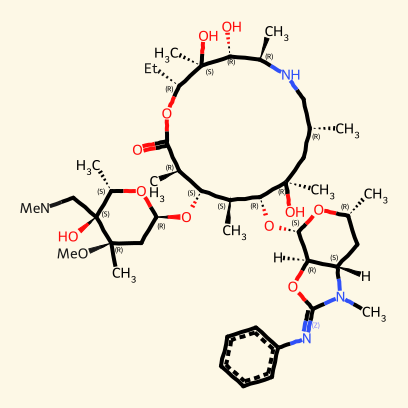 CC[C@H]1OC(=O)[C@H](C)[C@@H](O[C@H]2C[C@@](C)(OC)[C@](O)(CNC)[C@H](C)O2)[C@H](C)[C@@H](O[C@@H]2O[C@H](C)C[C@H]3[C@H]2O/C(=N\c2ccccc2)N3C)[C@](C)(O)C[C@@H](C)CN[C@H](C)[C@@H](O)[C@]1(C)O